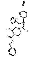 CC1C[N+](C(=O)O)(C(Cc2ccc(C#N)cc2)c2cnc[nH]2)CCN1C(=O)OCc1ccccc1